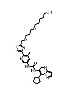 Cc1cc(NC(=O)Nc2cnc3ccnn3c2C2CCCC2)cnc1-c1noc(COCCCOCCCCCO)n1